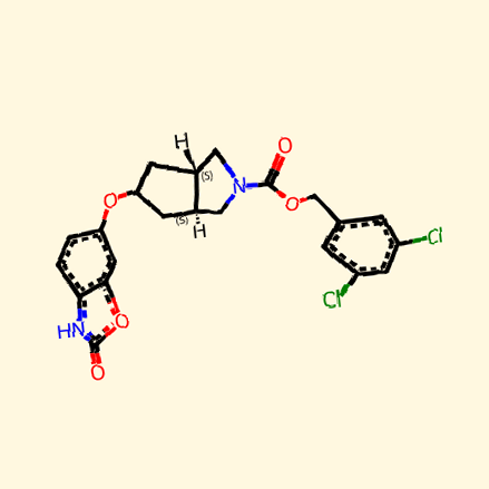 O=C(OCc1cc(Cl)cc(Cl)c1)N1C[C@H]2CC(Oc3ccc4[nH]c(=O)oc4c3)C[C@@H]2C1